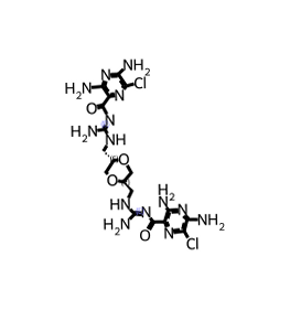 N/C(=N\C(=O)c1nc(Cl)c(N)nc1N)NC[C@@H]1CO[C@@H](CN/C(N)=N/C(=O)c2nc(Cl)c(N)nc2N)CO1